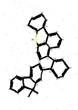 CC1(C)c2ccccc2-c2ccc(-c3ccccc3-c3ccc4c5c(cccc35)-c3ccccc3S4)cc21